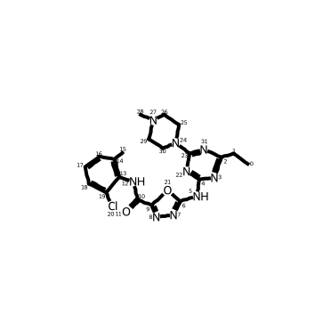 CCc1nc(Nc2nnc(C(=O)Nc3c(C)cccc3Cl)o2)nc(N2CCN(C)CC2)n1